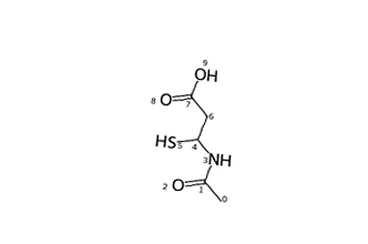 CC(=O)NC(S)CC(=O)O